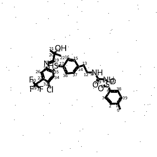 Cc1ccc(S(=O)(=O)NC(=O)NCCc2ccc([SH]3C(C(C)(C)O)=Nc4cc(C(F)(F)F)c(Cl)cc43)cc2)cc1